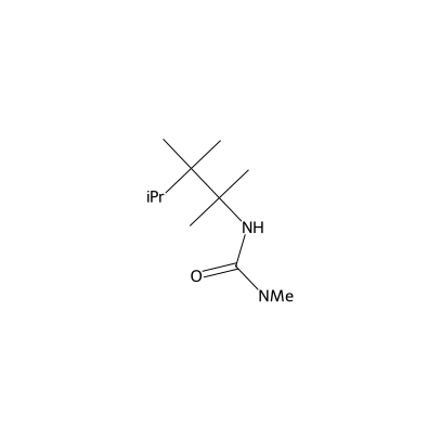 CNC(=O)NC(C)(C)C(C)(C)C(C)C